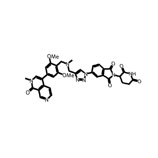 COc1cc(-c2cn(C)c(=O)c3cnccc23)cc(OC)c1CN(C)Cc1cn(-c2ccc3c(c2)C(=O)N(C2CCC(=O)NC2=O)C3=O)nn1